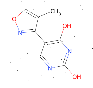 Cc1conc1-c1cnc(O)nc1O